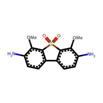 COc1c(N)ccc2c1S(=O)(=O)c1c-2ccc(N)c1OC